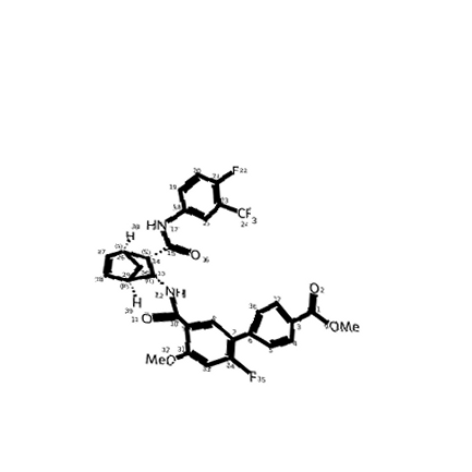 COC(=O)c1ccc(-c2cc(C(=O)N[C@H]3[C@@H](C(=O)Nc4ccc(F)c(C(F)(F)F)c4)[C@@H]4C=C[C@H]3C4)c(OC)cc2F)cc1